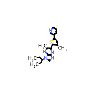 CCC(CC)n1cnc2nc(-c3sc(-c4cccnc4)cc3C)c(C)nc21